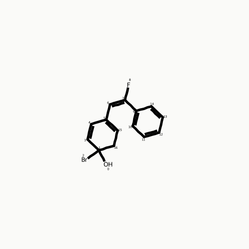 OC1(Br)C=CC(/C=C(/F)c2ccccc2)=CC1